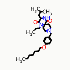 CCCCCCCOc1ccc(CN2CCC3(CC2)C(=O)NC(CC(C)C)C(=O)N3CCC)cc1